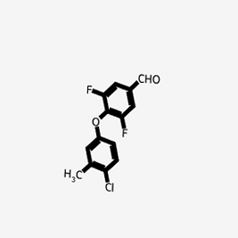 Cc1cc(Oc2c(F)cc(C=O)cc2F)ccc1Cl